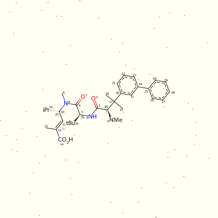 CN[C@@H](C(=O)N[C@H](C(=O)N(C)[C@H](/C=C(\C)C(=O)O)C(C)C)C(C)(C)C)C(C)(C)c1cccc(-c2ccccc2)c1